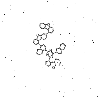 C1=CC2Oc3cccc(-c4nc(-c5ccc6ccccc6c5)nc(-c5ccc(-c6cccc7oc8cc(-c9cccc%10oc%11ccccc%11c9%10)ccc8c67)c6ccccc56)n4)c3C2C=C1